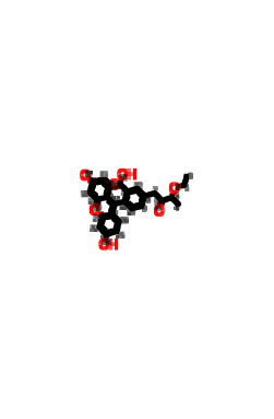 CCOC(C)C(=O)Cc1ccc(-c2c3c#cc(=O)cc-3oc3cc(O)ccc23)c(C(=O)O)c1